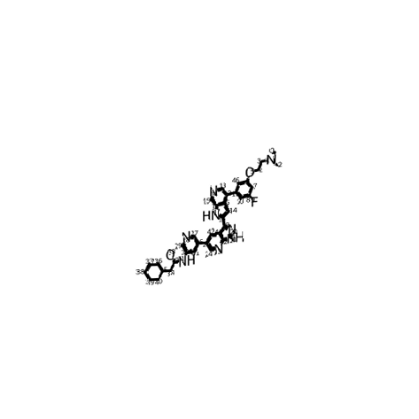 CN(C)CCOc1cc(F)cc(-c2cncc3[nH]c(-c4n[nH]c5ncc(-c6cncc(NC(=O)CC7CCCCC7)c6)cc45)cc23)c1